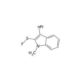 CCCc1c(SF)n(C)c2ccccc12